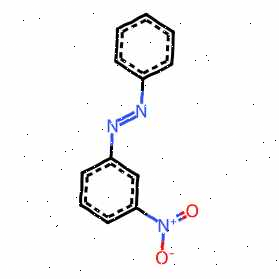 O=[N+]([O-])c1cccc(/N=N/c2ccccc2)c1